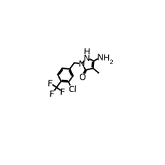 Cc1c(N)[nH]n(Cc2ccc(C(F)(F)F)c(Cl)c2)c1=O